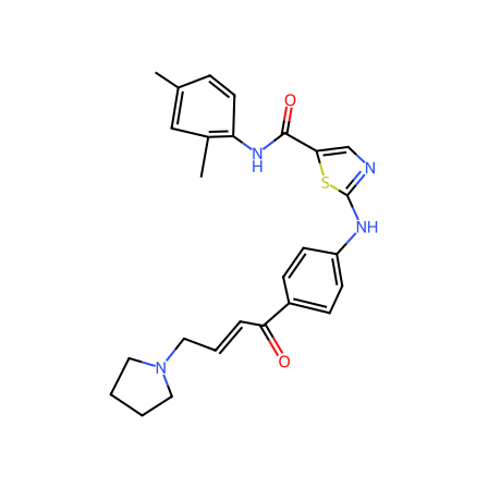 Cc1ccc(NC(=O)c2cnc(Nc3ccc(C(=O)/C=C/CN4CCCC4)cc3)s2)c(C)c1